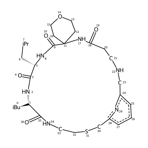 CC[C@H](C)[C@@H]1NC(=O)[C@H](CC(C)C)NC(=O)C2(CCOCC2)NC(=O)CCNCc2cccc(n2)CSCCNC1=O